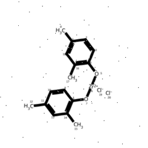 Cc1ccc([O][Zr+2][O]c2ccc(C)cc2C)c(C)c1.[Cl-].[Cl-]